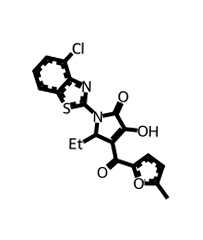 CCC1C(C(=O)c2ccc(C)o2)=C(O)C(=O)N1c1nc2c(Cl)cccc2s1